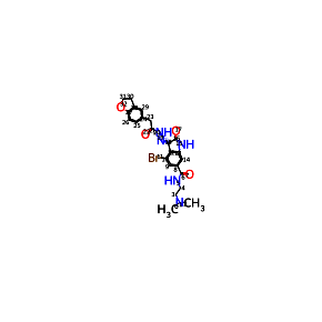 CN(C)CCNC(=O)c1cc(Br)c2c(c1)NC(=O)/C2=N\NC(=O)Cc1ccc2c(c1)CCO2